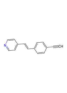 C#Cc1ccc(C=Cc2ccncc2)cc1